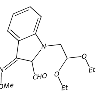 CCOC(CN1c2ccccc2C(=NOC)C1C=O)OCC